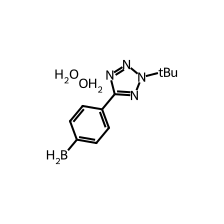 Bc1ccc(-c2nnn(C(C)(C)C)n2)cc1.O.O